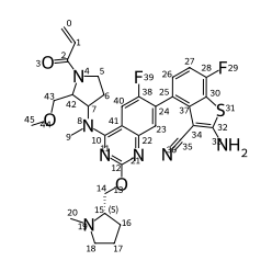 C=CC(=O)N1CCC(N(C)c2nc(OC[C@@H]3CCCN3C)nc3cc(-c4ccc(F)c5sc(N)c(C#N)c45)c(F)cc23)C1COC